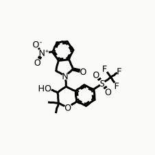 CC1(C)Oc2ccc(S(=O)(=O)C(F)(F)F)cc2C(N2Cc3c(cccc3[N+](=O)[O-])C2=O)C1O